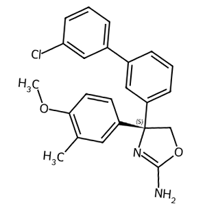 COc1ccc([C@@]2(c3cccc(-c4cccc(Cl)c4)c3)COC(N)=N2)cc1C